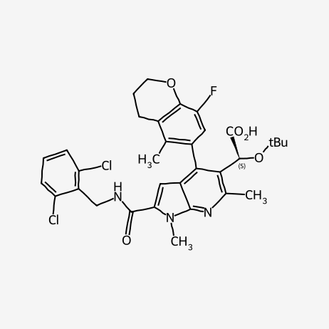 Cc1nc2c(cc(C(=O)NCc3c(Cl)cccc3Cl)n2C)c(-c2cc(F)c3c(c2C)CCCO3)c1[C@H](OC(C)(C)C)C(=O)O